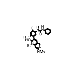 CCN1c2cc(NC)ncc2C=C(c2cc(NC(=O)Nc3ccccc3)c(F)cc2C)C1O